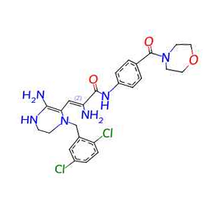 NC1=C(/C=C(\N)C(=O)Nc2ccc(C(=O)N3CCOCC3)cc2)N(Cc2cc(Cl)ccc2Cl)CCN1